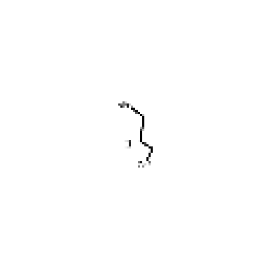 CCCCC[CH2][Cd+].[Cl-]